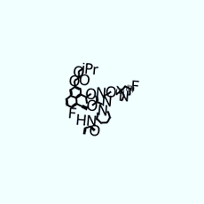 C#Cc1c(F)ccc2cc(OC(=O)OC(C)C)cc(C3COc4c(nc(OC[C@]5(C)C[C@@H](F)CN5C)nc4N4CCCCC(NC(=O)C=C)C4)O3)c12